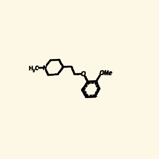 COc1c[c]ccc1OCCC1CCN(C)CC1